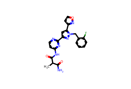 CC(C(N)=O)C(=O)Nc1ccnc(-c2cc(-c3ccon3)n(Cc3ccccc3F)n2)n1